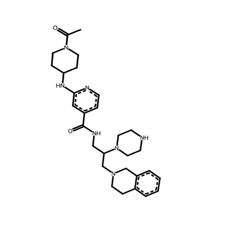 CC(=O)N1CCC(Nc2cc(C(=O)NCC(CN3CCc4ccccc4C3)N3CCNCC3)ccn2)CC1